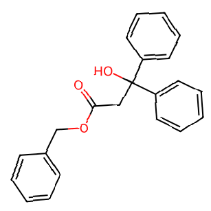 O=C(CC(O)(c1ccccc1)c1ccccc1)OCc1ccccc1